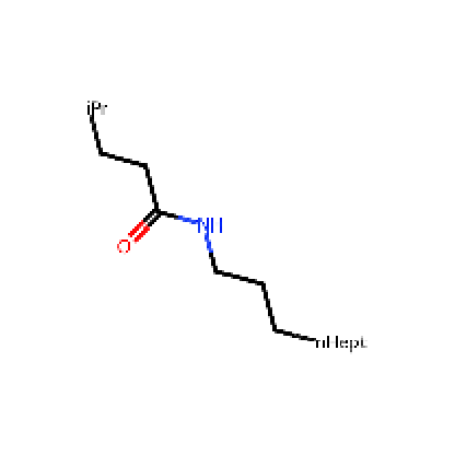 CCCCCCCCCCNC(=O)CCC(C)C